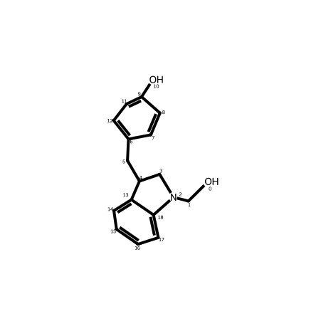 OCN1CC(Cc2ccc(O)cc2)c2ccccc21